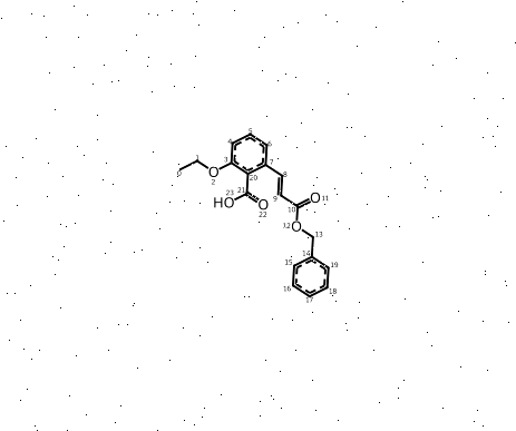 CCOc1cccc(C=CC(=O)OCc2ccccc2)c1C(=O)O